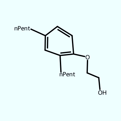 CCCCCc1ccc(OCCO)c(CCCCC)c1